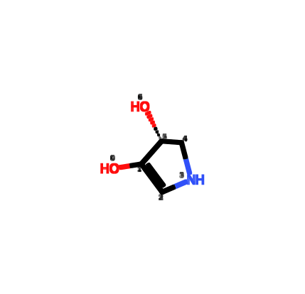 OC1=CNC[C@H]1O